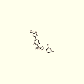 Cc1ccc([C@H]2C[C@@H](Oc3ncc(-c4cc([O-])no4)cn3)C2)c(F)c1.[Na+]